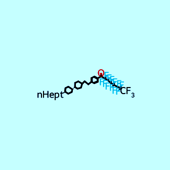 CCCCCCC[C@H]1CC[C@H](C2CCC(CCc3ccc(C(=O)C(F)(F)C(F)(F)C(F)(F)C(F)(F)C(F)(F)C(F)(F)C(F)(F)F)cc3)CC2)CC1